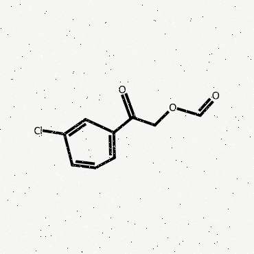 O=COCC(=O)c1cccc(Cl)c1